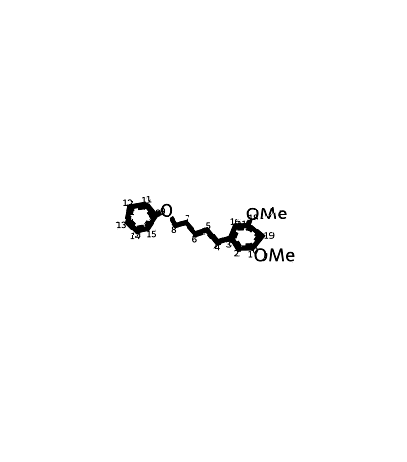 COc1cc(CCCCCOc2ccccc2)cc(OC)c1